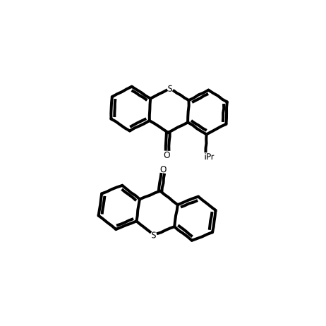 CC(C)c1cccc2sc3ccccc3c(=O)c12.O=c1c2ccccc2sc2ccccc12